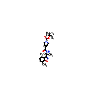 Cc1cccc2c(C(C)(C)NC(=O)C3C4CN(C(=O)OC(C)(C)C)CC43)noc12